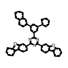 c1ccc(-c2cc(-c3ccc4ccccc4c3)cc(-c3nc(-c4ccc5c(c4)oc4ccccc45)nc(-c4ccc5c(c4)oc4ccccc45)n3)c2)cc1